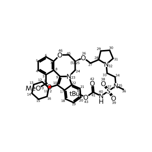 COC(=O)c1cccc2c1-c1c(C3CCCCC3)c3ccccc3n1C[C@H](OCC1CCCN1CCN(C)S(=O)(=O)NC(=O)OC(C)(C)C)CO2